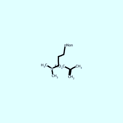 C=C(C)C(=O)OCC.CCCCCCCCCCCCN(C)C